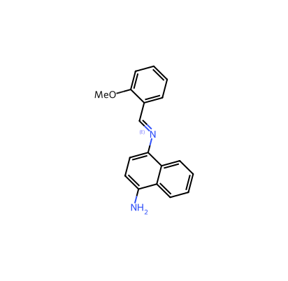 COc1ccccc1/C=N/c1ccc(N)c2ccccc12